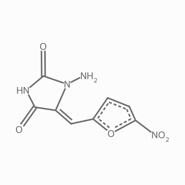 NN1C(=O)NC(=O)C1=Cc1ccc([N+](=O)[O-])o1